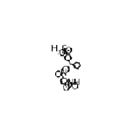 CS(=O)(=O)c1ccc([C@H](c2ccccc2)C2CCN(C(=O)c3ccc4c(c3)NC(=O)CO4)CC2)cc1